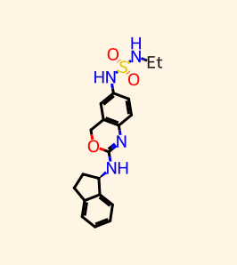 CCNS(=O)(=O)Nc1ccc2c(c1)COC(N[C@@H]1CCc3ccccc31)=N2